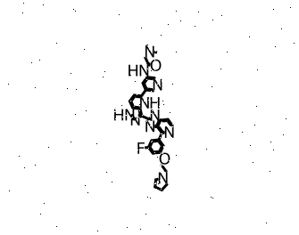 CN(C)CC(=O)Nc1cncc(-c2ccc3[nH]nc(-c4nc5c(-c6cc(F)cc(OCCN7CCCC7)c6)nccc5[nH]4)c3n2)c1